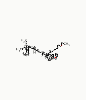 CC/C=C\C/C=C\C/C=C\C/C=C\C/C=C/CCCC(=O)OCC(C)(C)[C@@H](OC(=O)c1ccccc1OC(=O)c1ccccc1OC(=O)c1cccnc1)C(=O)NCCC(=O)NCCSSCCNC(=O)COCCN1C[C@@H](OCCCC)C(OCCCC)[C@H](OCCCC)C1COCCCC